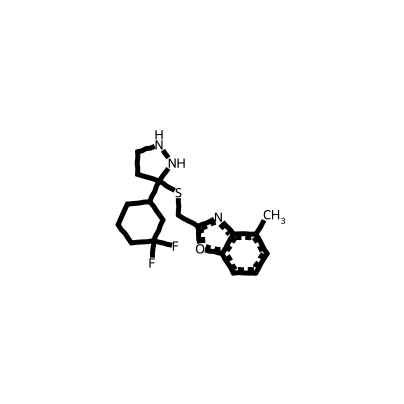 Cc1cccc2oc(CSC3(C4CCCC(F)(F)C4)CCNN3)nc12